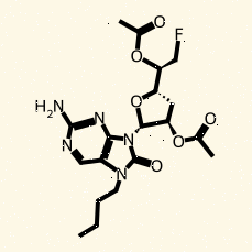 CCCCn1c(=O)n([C@@H]2O[C@H]([C@H](CF)OC(C)=O)C[C@H]2OC(C)=O)c2nc(N)ncc21